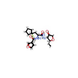 CC[C@@H]1OCC(=O)[C@H]1NC(=O)C(CC1(F)CCCC1)NC(=O)c1ccoc1